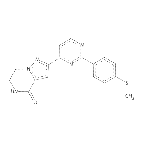 CSc1ccc(-c2nccc(-c3cc4n(n3)CCNC4=O)n2)cc1